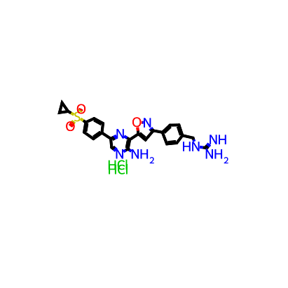 Cl.Cl.N=C(N)NCc1ccc(-c2cc(-c3nc(-c4ccc(S(=O)(=O)C5CC5)cc4)cnc3N)on2)cc1